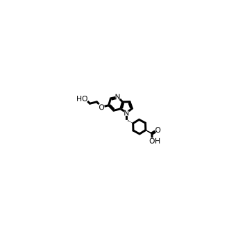 O=C(O)[C@H]1CC[C@H](Cn2ccc3ncc(OCCO)cc32)CC1